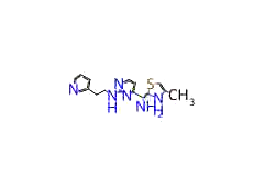 CC1=CS/C(=C(/N)c2ccnc(NCCc3cccnc3)n2)N1